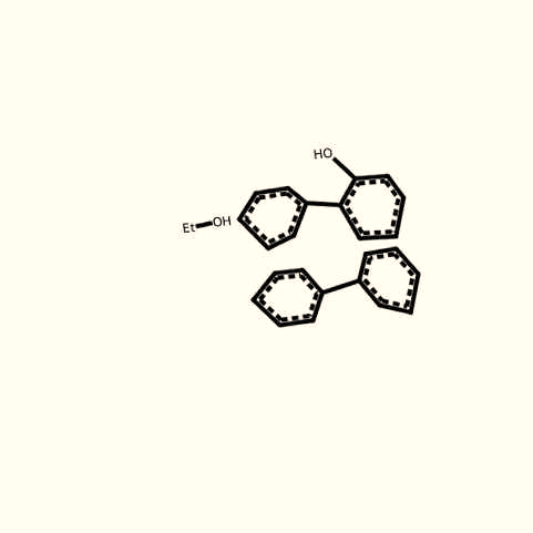 CCO.Oc1ccccc1-c1ccccc1.c1ccc(-c2ccccc2)cc1